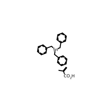 C=C(C)C(=O)O.c1ccc([CH2][Sn]([CH2]c2ccccc2)[CH2]c2ccccc2)cc1